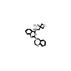 NC1(CNc2nc(N3CCSc4ccccc4C3)nc3ccccc23)COC1